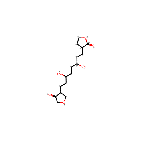 O=C1COCC1CCC(O)CCC(O)CCC1CCOC1=O